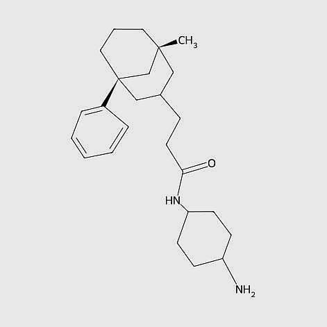 C[C@@]12CCC[C@@](c3ccccc3)(CC(CCC(=O)NC3CCC(N)CC3)C1)C2